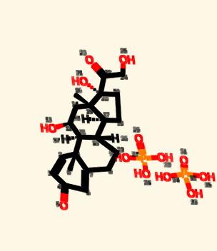 C[C@]12C=CC(=O)C=C1CC[C@@H]1[C@@H]2[C@@H](O)C[C@@]2(C)[C@H]1CC[C@]2(O)C(=O)CO.O=P(O)(O)O.O=P(O)(O)O